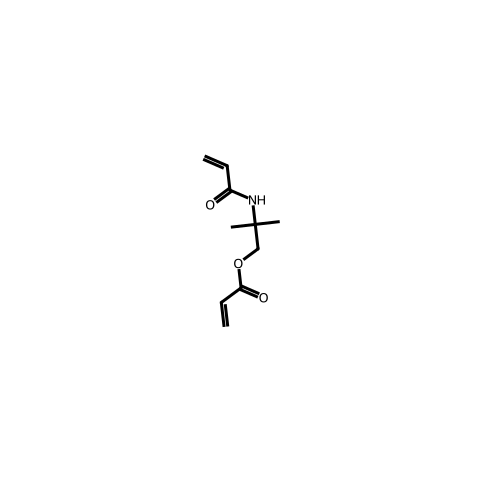 C=CC(=O)NC(C)(C)COC(=O)C=C